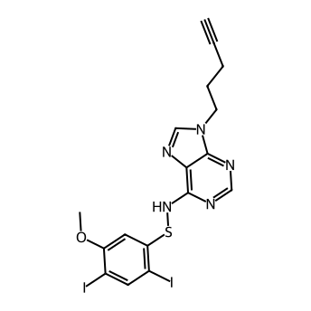 C#CCCCn1cnc2c(NSc3cc(OC)c(I)cc3I)ncnc21